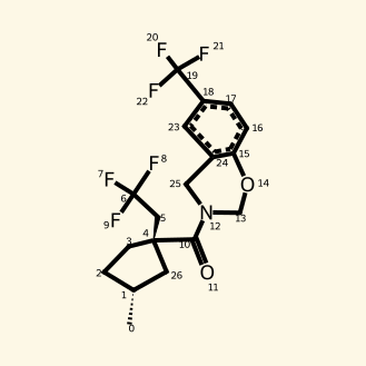 C[C@@H]1CC[C@](CC(F)(F)F)(C(=O)N2COc3ccc(C(F)(F)F)cc3C2)C1